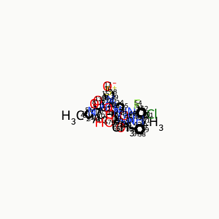 CC(=O)[C@@H]1C[C@@H](C)CN1C(=O)[C@H](C)NC(=O)[C@@H]1C[S+]([O-])CCN1C(=O)[C@@H]1CCCN1C(=O)[C@@H](NC(=O)[C@H](Cc1cccc(C)c1)NC(=O)Nc1ccc(Cl)cc1F)[C@H](C)O